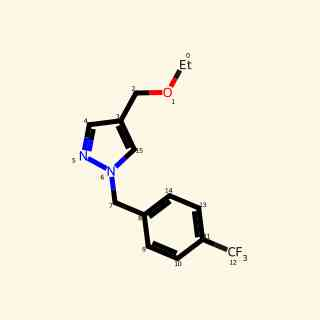 CCOCc1cnn(Cc2ccc(C(F)(F)F)cc2)c1